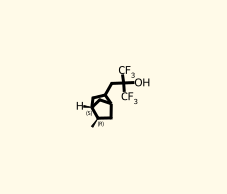 C[C@@H]1CC2C[C@H]1CC2CC(O)(C(F)(F)F)C(F)(F)F